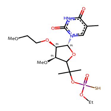 CCOP(=O)(S)OC(C)(C)C1O[C@@H](n2cc(C)c(=O)[nH]c2=O)[C@H](OCCOC)[C@@H]1OC